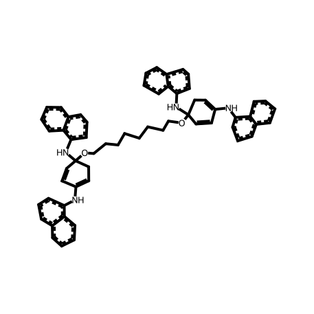 C1=CC(Nc2cccc3ccccc23)(OCCCCCCCCOC2(Nc3cccc4ccccc34)C=CC(Nc3cccc4ccccc34)=CC2)CC=C1Nc1cccc2ccccc12